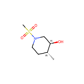 C[C@@H]1CCN(S(C)(=O)=O)C[C@H]1O